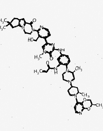 C=CC(=O)Nc1cc(Nc2nc(-c3ccnc(N4CCn5c(cc6c5CC(C)(C)C6)C4=O)c3CO)cn(C)c2=O)ccc1N1CCN(C2CCN(c3ccnc4c3OC[C@@H](C)O4)[C@H](C)C2)C[C@@H]1C